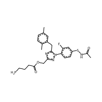 CC(=O)NSc1ccc(-n2nc(COC(=O)CCCP)nc2Cc2cc(C)ccc2C)c(F)c1